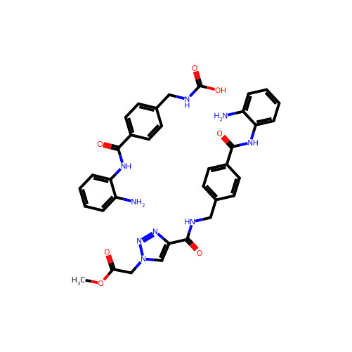 COC(=O)Cn1cc(C(=O)NCc2ccc(C(=O)Nc3ccccc3N)cc2)nn1.Nc1ccccc1NC(=O)c1ccc(CNC(=O)O)cc1